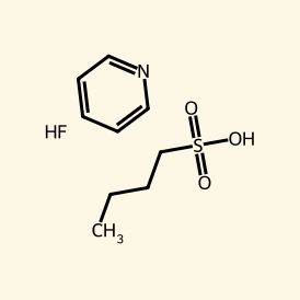 CCCCS(=O)(=O)O.F.c1ccncc1